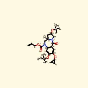 C=CCOC(=O)N1C[C@@H]2C[C@@H](O[Si](C)(C)C(C)(C)C)CN2C(=O)c2cc(OC3CC3)c(O[Si](C(C)C)(C(C)C)C(C)C)cc21